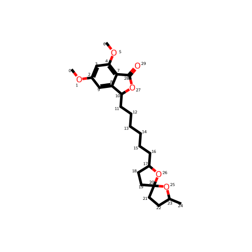 COc1cc(OC)c2c(c1)C(CCCCCCC1CCC3(CCC(C)O3)O1)OC2=O